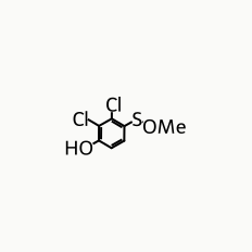 COSc1ccc(O)c(Cl)c1Cl